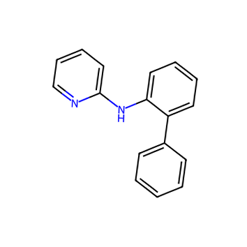 c1ccc(-c2ccccc2Nc2ccccn2)cc1